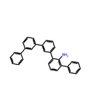 Nc1c(-c2ccccc2)cccc1-c1cccc(-c2cccc(-c3ccccc3)c2)c1